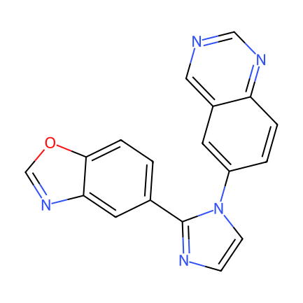 c1cn(-c2ccc3ncncc3c2)c(-c2ccc3ocnc3c2)n1